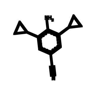 N#Cc1cc(C2CC2)c(N)c(C2CC2)c1